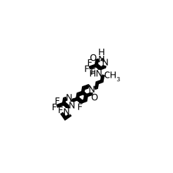 C[C@@H](CCCn1ccc2cc(-c3ncc(C(F)(F)F)c(N4CCC4)n3)c(F)cc2c1=O)Nc1cn[nH]c(=O)c1C(F)(F)F